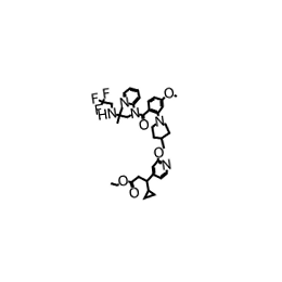 CCOC(=O)CC(c1ccnc(OCC2CCN(c3cc(OC)ccc3C(=O)N(CC(C)(C)NCC(F)(F)F)c3ccccn3)CC2)c1)C1CC1